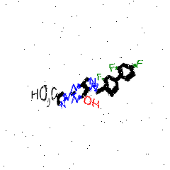 O=C(O)c1cnn(-c2nc(O)c3c(cnn3Cc3ccc(-c4ccc(F)cc4F)cc3F)n2)c1